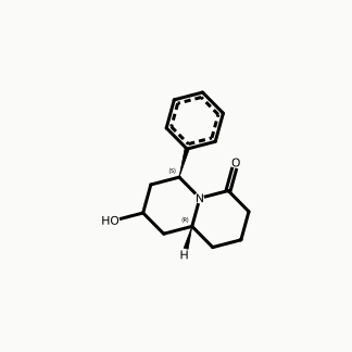 O=C1CCC[C@@H]2CC(O)C[C@@H](c3ccccc3)N12